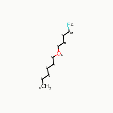 [CH2]CCCCCOCCCCF